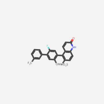 COc1cc(-c2cccc(C(F)(F)F)c2)c(F)cc1-c1c(S(=O)(=O)O)ccc2[nH]c(=O)ccc12